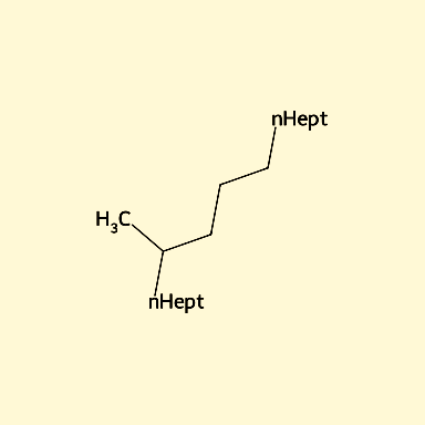 CCCCCCCCCCC(C)CCCCCCC